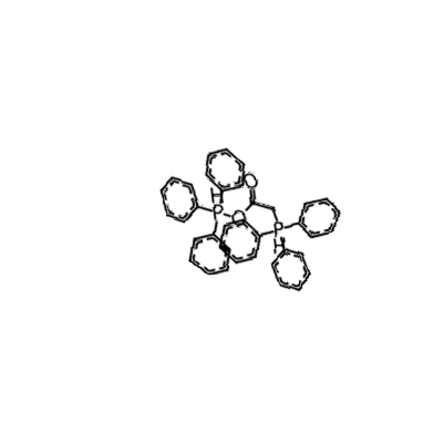 O=C(C[PH](c1ccccc1)(c1ccccc1)c1ccccc1)O[PH](c1ccccc1)(c1ccccc1)c1ccccc1